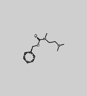 CN(C)CCN(C)C(=O)OCc1ccccc1